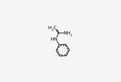 C=C(N)Nc1ccccc1